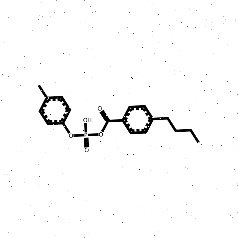 CCCCc1ccc(C(=O)OP(=O)(O)Oc2ccc(C)cc2)cc1